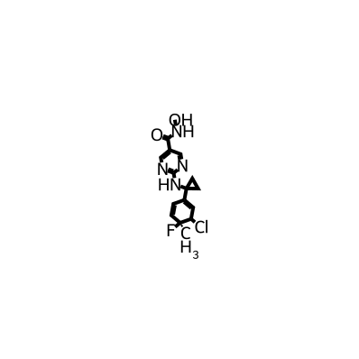 C[C@]1(F)C=CC(C2(Nc3ncc(C(=O)NO)cn3)CC2)=CC1Cl